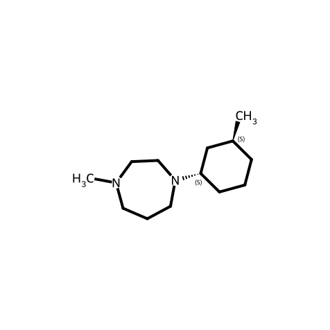 C[C@H]1CCC[C@H](N2CCCN(C)CC2)C1